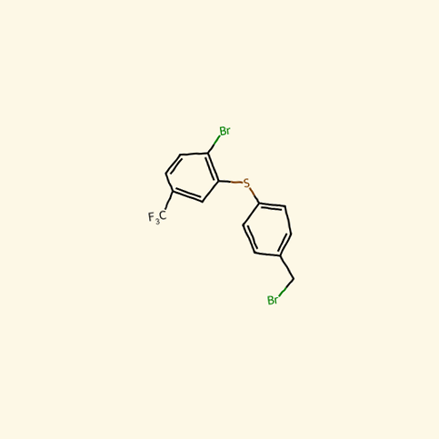 FC(F)(F)c1ccc(Br)c(Sc2ccc(CBr)cc2)c1